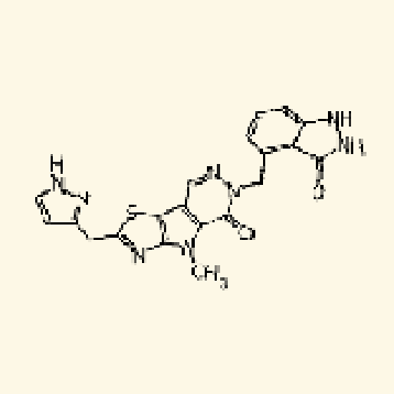 Cn1c2nc(Cc3cc[nH]n3)sc2c2cnn(Cc3cccc4[nH][nH]c(=O)c34)c(=O)c21